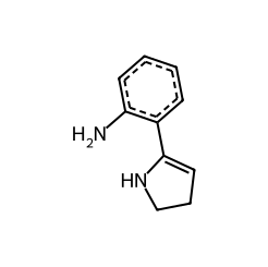 Nc1ccccc1C1=CCCN1